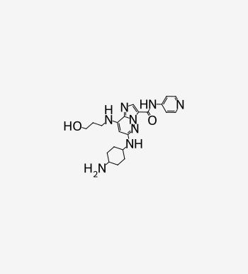 NC1CCC(Nc2cc(NCCCO)c3ncc(C(=O)Nc4ccncc4)n3n2)CC1